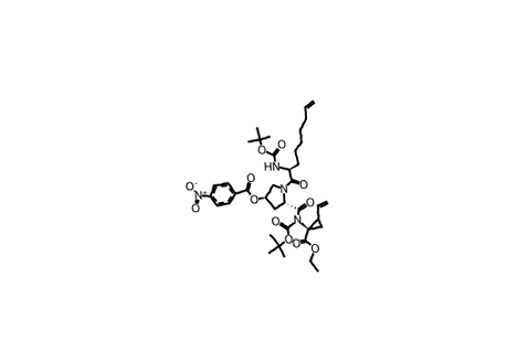 C=CCCCCC[C@H](NC(=O)OC(C)(C)C)C(=O)N1C[C@H](OC(=O)c2ccc([N+](=O)[O-])cc2)C[C@H]1C(=O)N(C(=O)OC(C)(C)C)[C@]1(C(=O)OCC)CC1C=C